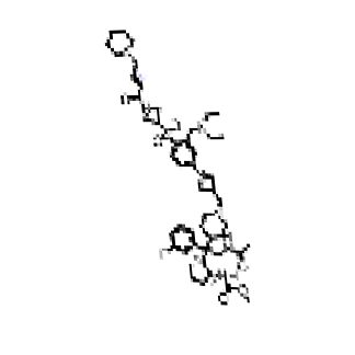 CCN(CC)Cc1cc(N2CC(CN3CCC([C@@](CNC(C)=O)(c4cccc(F)c4)[C@H]4CCC[C@@H]4NC(=O)OC)CC3)C2)ccc1S(=O)(=O)C1CN(C(=O)/C=C/CN2CCCCC2)C1